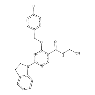 N#CCNC(=O)c1cnc(N2CCc3ccccc32)nc1OCc1ccc(Cl)cc1